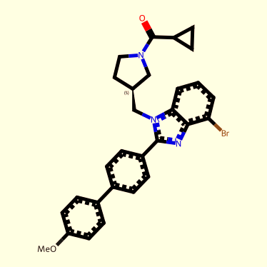 COc1ccc(-c2ccc(-c3nc4c(Br)cccc4n3C[C@H]3CCN(C(=O)C4CC4)C3)cc2)cc1